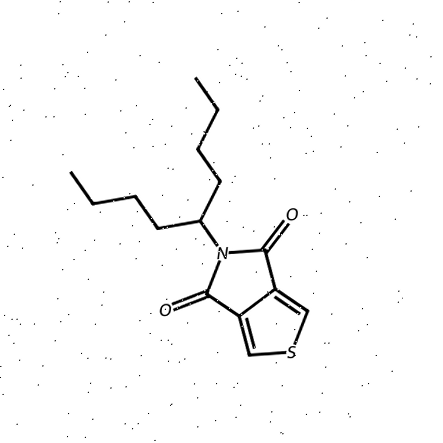 CCCCC(CCCC)N1C(=O)c2cscc2C1=O